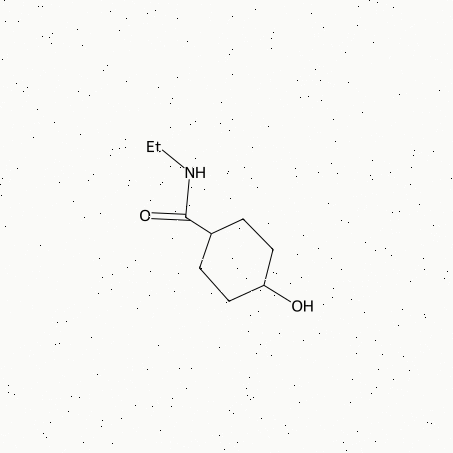 CCNC(=O)C1CCC(O)CC1